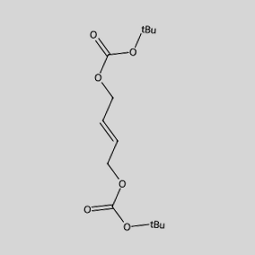 CC(C)(C)OC(=O)OCC=CCOC(=O)OC(C)(C)C